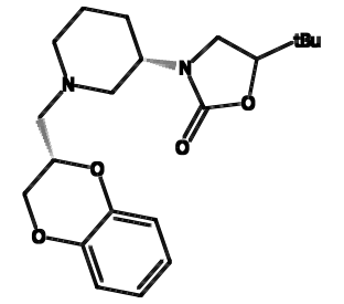 CC(C)(C)C1CN([C@H]2CCCN(C[C@H]3COc4ccccc4O3)C2)C(=O)O1